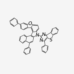 c1ccc(-c2ccc3c(c2)oc2ccc4c(c23)c2c3ccccc3c(-c3ccccc3)cc2n4-c2nc(-c3ccccc3)c3sc4ccccc4c3n2)cc1